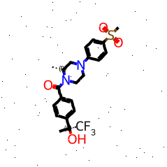 C[C@@H]1CN(c2ccc(S(C)(=O)=O)cc2)CCN1C(=O)c1ccc([C@](C)(O)C(F)(F)F)cc1